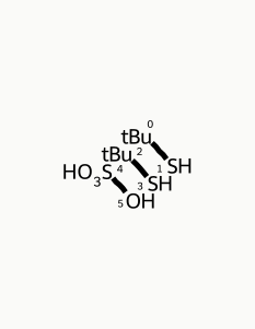 CC(C)(C)S.CC(C)(C)S.O=S(=O)(O)O